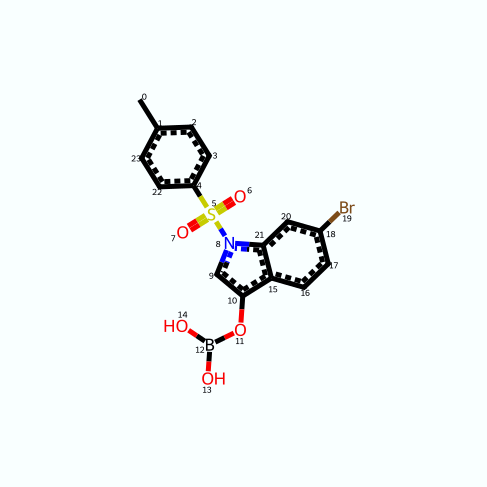 Cc1ccc(S(=O)(=O)n2cc(OB(O)O)c3ccc(Br)cc32)cc1